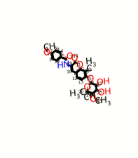 COc1ccc(C(=O)Nc2cc3ccc(O[C@@H]4OC(C)(C)[C@H](OC)C(O)C4O)c(C)c3oc2=O)cc1